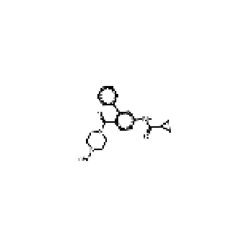 CCCN1CCN(C(=O)c2ccc(NC(=O)C3CC3)cc2-c2ccccc2)CC1